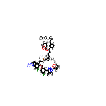 CCOC(=O)CCc1cccc(C(CCCC(C)(C)CSCCc2c(Oc3ccc(F)c(-c4nn(C5CCCCO5)cc4C#N)c3)c(F)cc3[nH]ccc23)OC2CCCCO2)c1